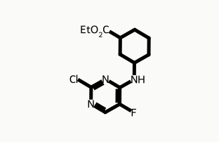 CCOC(=O)C1CCCC(Nc2nc(Cl)ncc2F)C1